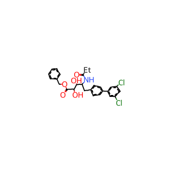 CCC(=O)NC(Cc1ccc(-c2cc(Cl)cc(Cl)c2)cc1)C(O)C(O)C(=O)OCc1ccccc1